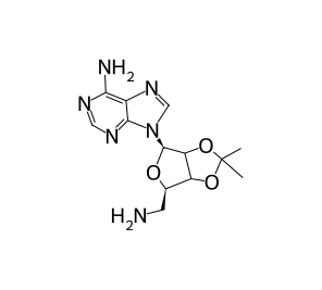 CC1(C)OC2C(O1)[C@@H](CN)O[C@H]2n1cnc2c(N)ncnc21